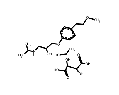 CCO.COCCc1ccc(OCC(O)CNC(C)C)cc1.O=C(O)C(O)C(O)C(=O)O